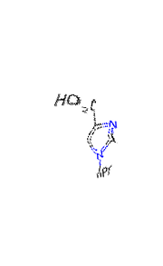 CCCn1cnc(C(=O)O)c1